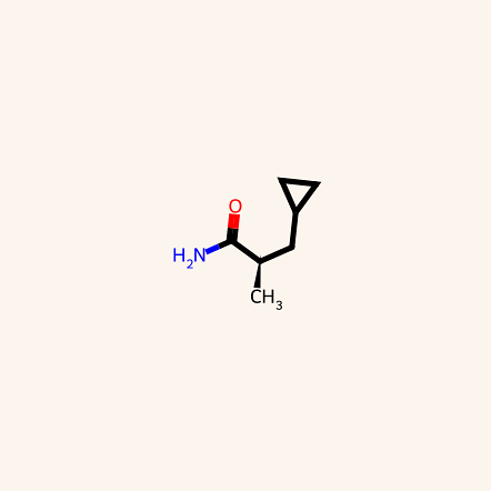 C[C@H](CC1CC1)C(N)=O